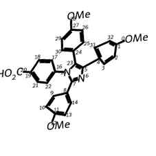 COc1ccc(-c2nc(-c3ccc(OC)cc3)n(-c3ccc(C(=O)O)cc3)c2-c2ccc(OC)cc2)cc1